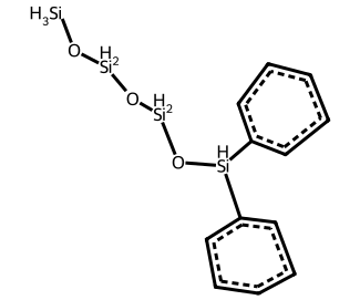 [SiH3]O[SiH2]O[SiH2]O[SiH](c1ccccc1)c1ccccc1